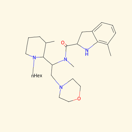 CCCCCCN1CCCC(C)C1C(CN1CCOCC1)N(C)C(=O)C1Cc2cccc(C)c2N1